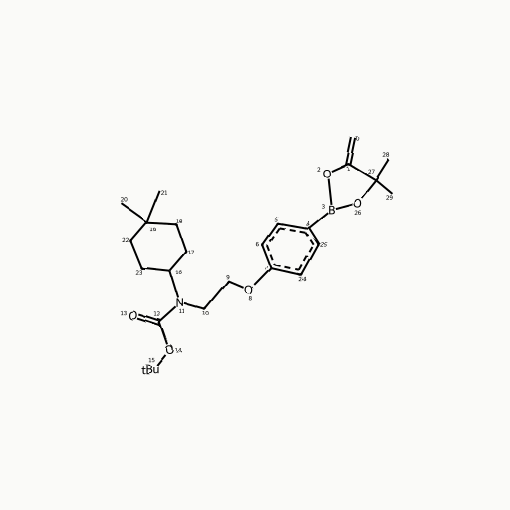 C=C1OB(c2ccc(OCCN(C(=O)OC(C)(C)C)C3CCC(C)(C)CC3)cc2)OC1(C)C